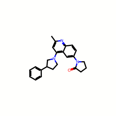 Cc1cc(N2CCC(c3ccccc3)C2)c2cc(N3CCCC3=O)ccc2n1